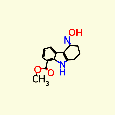 COC(=O)c1cccc2c3c([nH]c12)CCC/C3=N\O